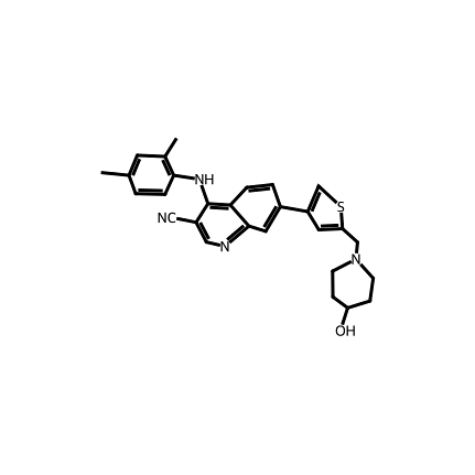 Cc1ccc(Nc2c(C#N)cnc3cc(-c4csc(CN5CCC(O)CC5)c4)ccc23)c(C)c1